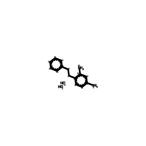 Cl.Cl.Nc1ccc(CCc2ccccc2)c(N)c1